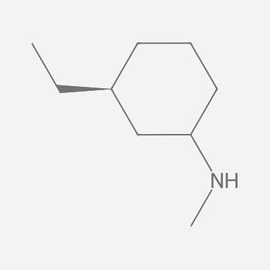 CC[C@H]1CCCC(NC)C1